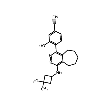 C#Cc1ccc(-c2nnc(NC3CC(C)(O)C3)c3c2CCCCC3)c(O)c1